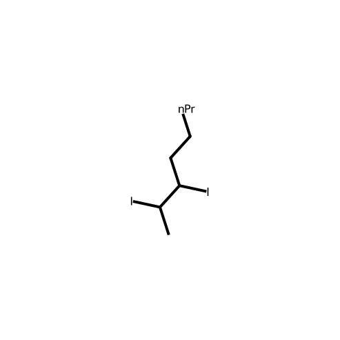 CCCCCC(I)C(C)I